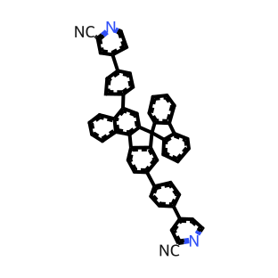 N#Cc1cc(-c2ccc(-c3ccc4c(c3)C3(c5ccccc5-c5ccccc53)c3cc(-c5ccc(-c6ccnc(C#N)c6)cc5)c5ccccc5c3-4)cc2)ccn1